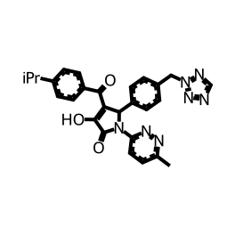 Cc1ccc(N2C(=O)C(O)=C(C(=O)c3ccc(C(C)C)cc3)C2c2ccc(Cn3ncnn3)cc2)nn1